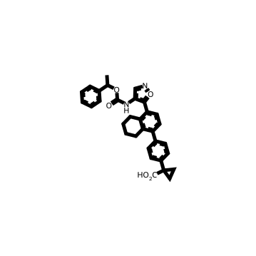 CC(OC(=O)Nc1cnoc1-c1ccc(-c2ccc(C3(C(=O)O)CC3)cc2)c2c1CCCC2)c1ccccc1